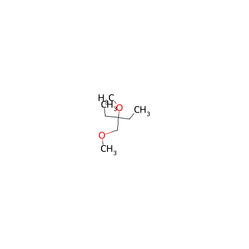 CCC(CC)(COC)OC